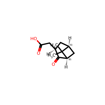 CC1(C)[C@H]2C[C@H](CC(=O)O)C(=O)[C@@H]1C2